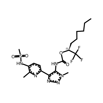 CCCCCC[C@H](OC(=O)Nc1c(-c2ccc(NS(C)(=O)=O)c(C)n2)nnn1C)C(F)(F)F